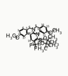 COc1ccc(CN(Cc2ccc(OC)cc2)c2ccc(C(F)(F)F)c(B3OC(C)(C)C(C)(C)O3)n2)cc1